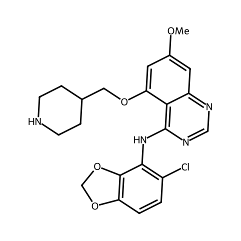 COc1cc(OCC2CCNCC2)c2c(Nc3c(Cl)ccc4c3OCO4)ncnc2c1